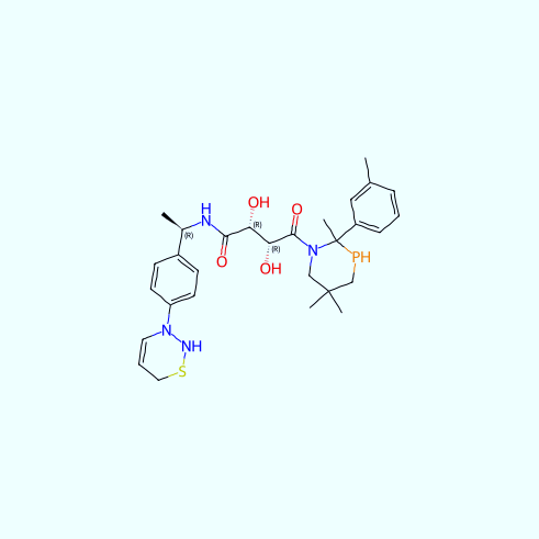 Cc1cccc(C2(C)PCC(C)(C)CN2C(=O)[C@H](O)[C@@H](O)C(=O)N[C@H](C)c2ccc(N3C=CCSN3)cc2)c1